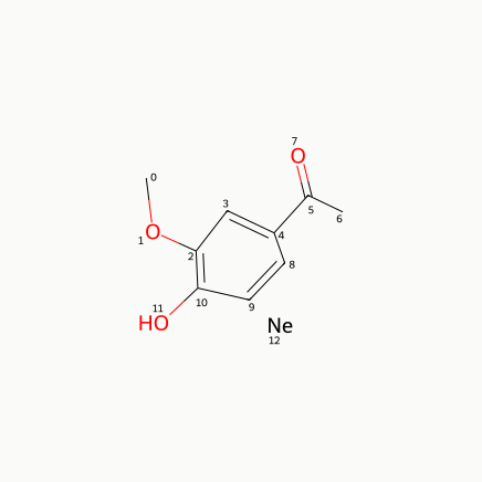 COc1cc(C(C)=O)ccc1O.[Ne]